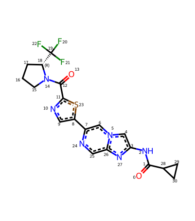 O=C(Nc1cn2cc(-c3cnc(C(=O)N4CCC[C@@H]4C(F)(F)F)s3)ncc2n1)C1CC1